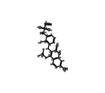 CNS(=O)(=O)Nc1cccc(Cc2c(CN(C)C)c3ccc(O)cc3oc2=O)c1F